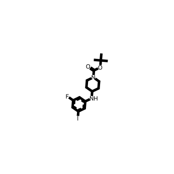 CC(C)(C)OC(=O)N1CCC(Nc2cc(F)cc(I)c2)CC1